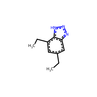 CCc1cc(CC)c2[nH]nnc2c1